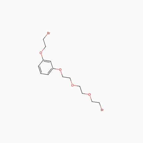 BrCCOCCOCCOc1cccc(OCCBr)c1